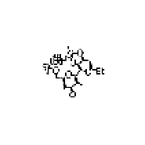 CCc1cc(=O)c(O[Si](C)(C)C(C)(C)C)c(-c2oc(CO[Si](C)(C)C(C)(C)C)cc(=O)c2C)o1